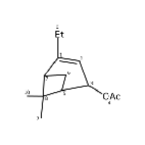 CCC1=CC(OC(C)=O)C2CC1C2(C)C